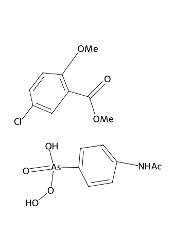 CC(=O)Nc1ccc([As](=O)(O)OO)cc1.COC(=O)c1cc(Cl)ccc1OC